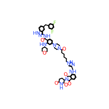 O=C1CCC(N2C(=O)c3cccc(NCc4cn(CCCCCC(=O)N5CCN(c6ccc(C(=O)Nc7n[nH]c8ccc(Cc9cc(F)cc(F)c9)cc78)c(NC7CCOCC7)c6)CC5)nn4)c3C2=O)C(=O)N1